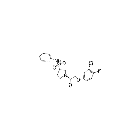 O=C(COc1ccc(F)c(Cl)c1)N1CCC(S(=O)(=O)NC2=CCCC=C2)C1